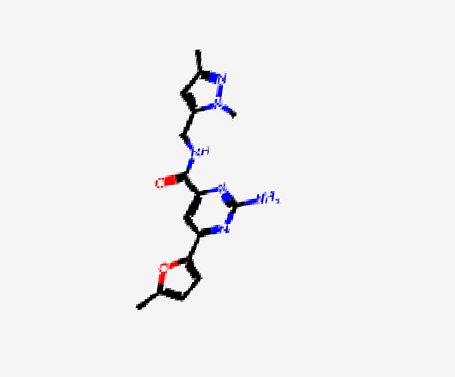 Cc1cc(CNC(=O)c2cc(-c3ccc(C)o3)nc(N)n2)n(C)n1